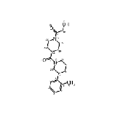 Cc1ccccc1C1CCCN(C(=O)C2CCN(C(=O)CO)CC2)C1